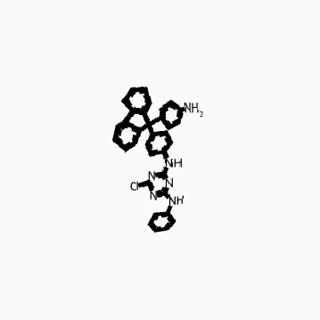 Nc1ccc(C2(c3ccc(Nc4nc(Cl)nc(Nc5ccccc5)n4)cc3)c3ccccc3-c3ccccc32)cc1